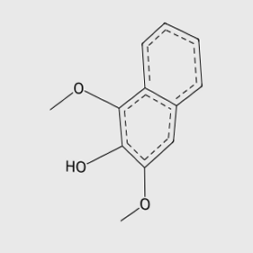 COc1cc2ccccc2c(OC)c1O